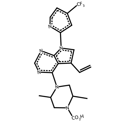 C=Cc1cn(-c2cc(C(F)(F)F)ccn2)c2ncnc(N3CC(C)N(C(=O)O)CC3C)c12